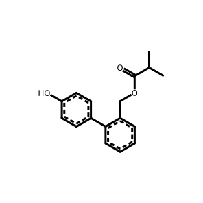 CC(C)C(=O)OCc1ccccc1-c1ccc(O)cc1